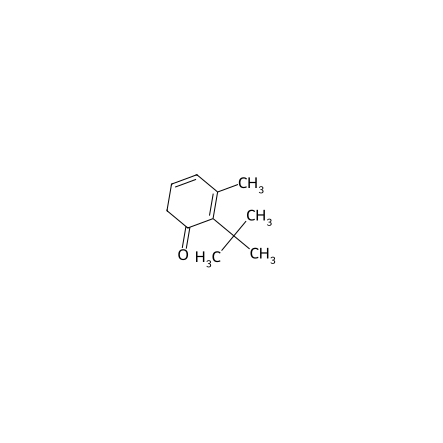 CC1=C(C(C)(C)C)C(=O)CC=C1